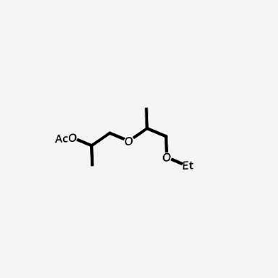 CCOCC(C)OCC(C)OC(C)=O